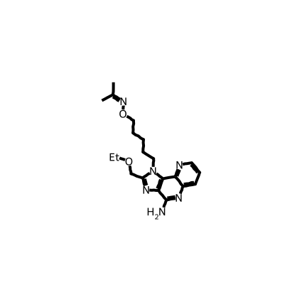 CCOCc1nc2c(N)nc3cccnc3c2n1CCCCCON=C(C)C